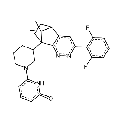 CC1(C)C2CCC1(C1CCCN(c3cccc(=O)[nH]3)C1)c1nnc(-c3c(F)cccc3F)cc12